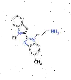 CCn1c(-c2nc3cc(C)ccc3n2CCCN)cc2ccccc21